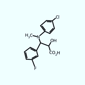 CN(c1ccc(Cl)cc1)C(c1cccc(F)c1)C(O)C(=O)O